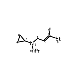 CCCN(C/C=C(\C)CC)C1CC1